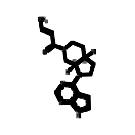 CC=CC(=O)N1CC[C@@H]2CCN(c3ncnc4[nH]ccc34)[C@@H]2C1